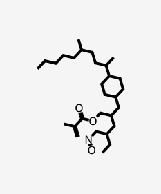 C=C(C)C(=O)OCC(CC1CCC(C(C)CCC(C)CCCCC)CC1)CC(CC)CN=O